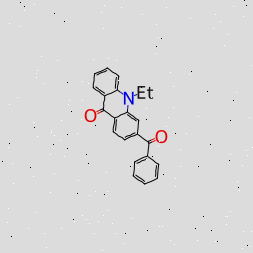 CCn1c2ccccc2c(=O)c2ccc(C(=O)c3ccccc3)cc21